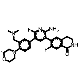 C[C@@H]1CN(c2ccc(-c3cc(-c4cc5c(cc4F)C(=O)NCC5)c(N)nc3F)cc2CN(C)C)CCO1